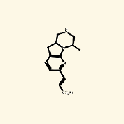 CCOC(=O)C=Cc1ccc2c(n1)N1C(C)CNCC1C2